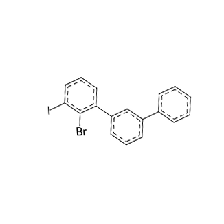 Brc1c(I)cccc1-c1cccc(-c2ccccc2)c1